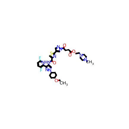 CCO[C@H]1CC[C@H](n2cc(NC(=O)c3csc(-c4cnn(C(=O)CCC(=O)OCCN5CCN(C)CC5)c4)n3)c(-c3nc(F)ccc3F)n2)CC1